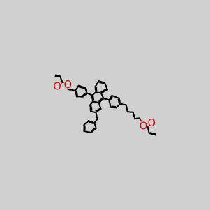 C=CC(=O)OCCCCCc1ccc(-c2c3ccccc3c(-c3ccc(COC(=O)C=C)cc3)c3ccc(Cc4ccccc4)cc23)cc1